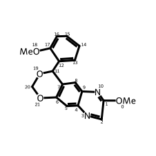 COc1cnc2cc3c(cc2n1)C(c1ccccc1OC)OCO3